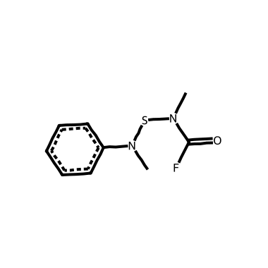 CN(SN(C)c1ccccc1)C(=O)F